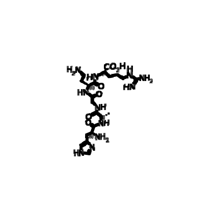 C[C@H](NC(=O)[C@@H](N)Cc1c[nH]cn1)C(=O)NCC(=O)N[C@@H](CCN)C(=O)N[C@@H](CCCNC(=N)N)C(=O)O